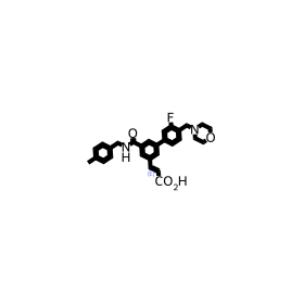 Cc1ccc(CNC(=O)c2cc(/C=C/C(=O)O)cc(-c3ccc(CN4CCOCC4)c(F)c3)c2)cc1